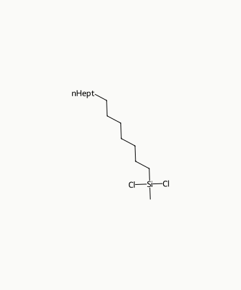 CCCCCCCCCCCCCC[Si](C)(Cl)Cl